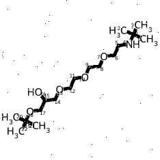 CC(C)(C)NCCOCCOCCOCC(O)COC(C)(C)C